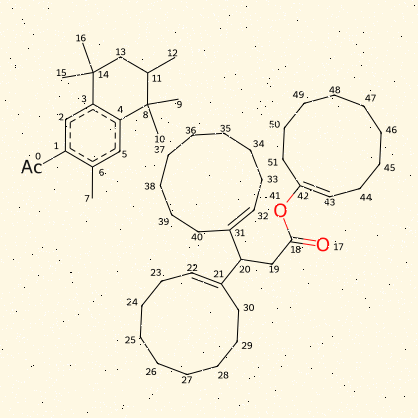 CC(=O)c1cc2c(cc1C)C(C)(C)C(C)CC2(C)C.O=C(CC(C1=CCCCCCCCC1)C1=CCCCCCCCC1)OC1=CCCCCCCCC1